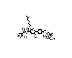 CC(C)CCCCn1nc(NC(=O)c2cnsc2)c2cc(Cl)c(-c3ccc(OCOP(=O)(O)O)cc3)nc21